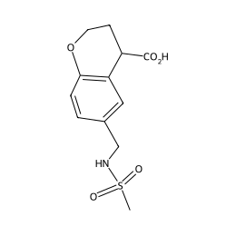 CS(=O)(=O)NCc1ccc2c(c1)C(C(=O)O)CCO2